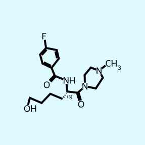 CN1CCN(C(=O)[C@H](CCCCO)NC(=O)c2ccc(F)cc2)CC1